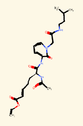 CCOC(=O)/C=C/CC[C@H](NC(C)=O)C(=O)Nc1cccn(CC(=O)NCCC(C)C)c1=O